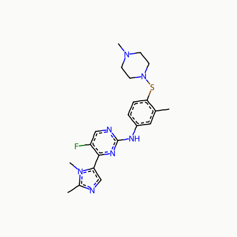 Cc1cc(Nc2ncc(F)c(-c3cnc(C)n3C)n2)ccc1SN1CCN(C)CC1